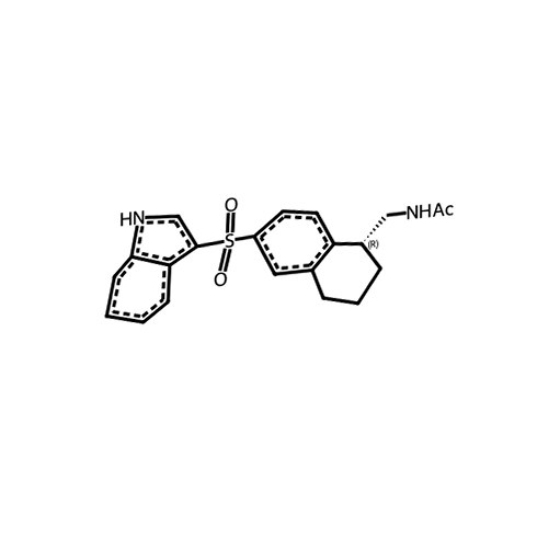 CC(=O)NC[C@@H]1CCCc2cc(S(=O)(=O)c3c[nH]c4ccccc34)ccc21